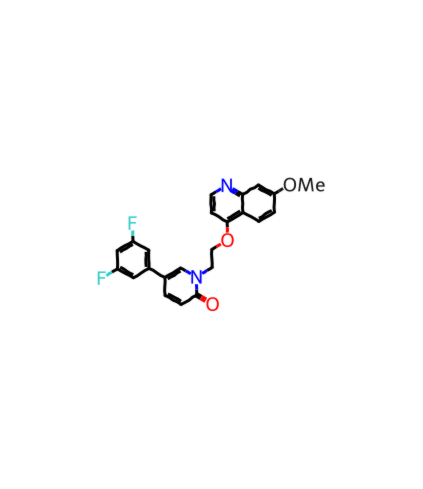 COc1ccc2c(OCCn3cc(-c4cc(F)cc(F)c4)ccc3=O)ccnc2c1